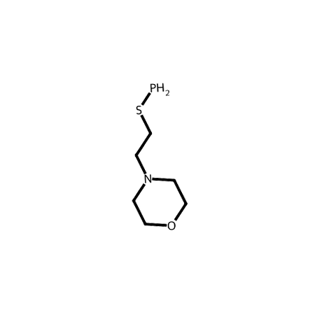 PSCCN1CCOCC1